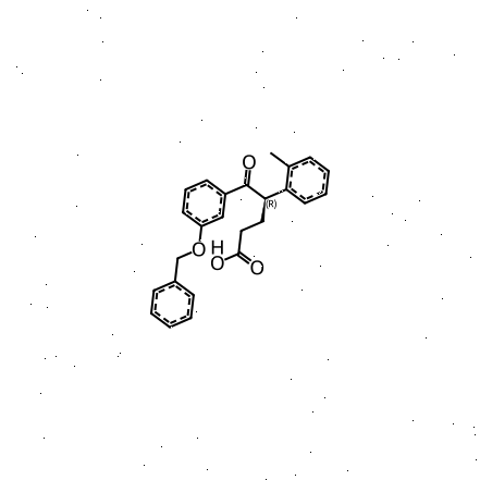 Cc1ccccc1[C@@H](CCC(=O)O)C(=O)c1cccc(OCc2ccccc2)c1